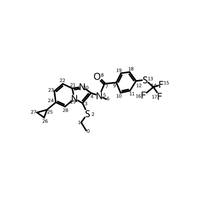 CCSc1c(N(C)C(=O)c2ccc(SC(F)(F)F)cc2)nc2ccc(C3CC3)cn12